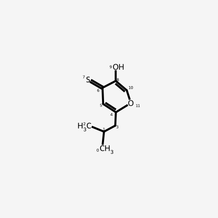 CC(C)Cc1cc(=S)c(O)co1